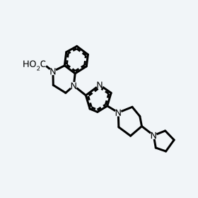 O=C(O)N1CCN(c2ccc(N3CCC(N4CCCC4)CC3)cn2)c2ccccc21